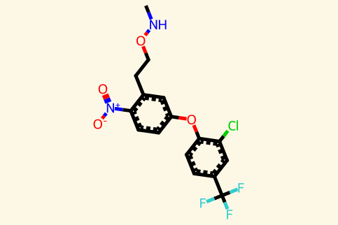 CNOCCc1cc(Oc2ccc(C(F)(F)F)cc2Cl)ccc1[N+](=O)[O-]